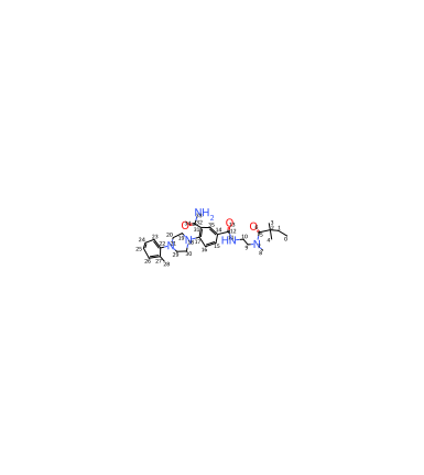 CCC(C)(C)C(=O)N(C)CCNC(=O)c1ccc(N2CCN(c3ccccc3C)CC2)c(C(N)=O)c1